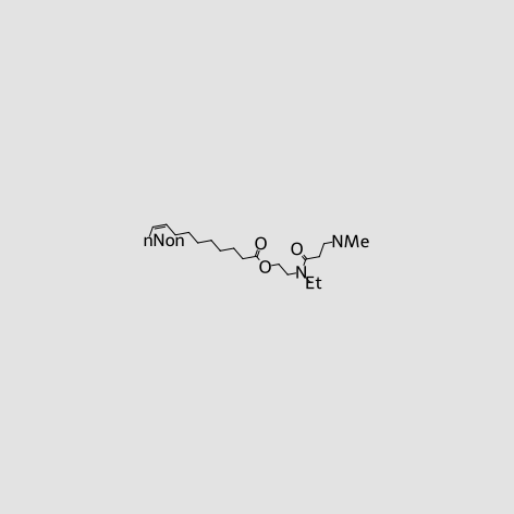 CCCCCCCCC/C=C\CCCCCCCC(=O)OCCN(CC)C(=O)CCNC